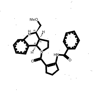 COC[C@@H]1Nc2ccccc2[C@H]2[C@@H]1CCN2C(=O)C1=C(NC(=O)c2ccccc2)CCC1